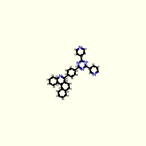 c1cncc(-c2nc(-c3ccncc3)nc(-c3ccc(-c4nc5ccccc5c5c4ccc4ccccc45)cc3)n2)c1